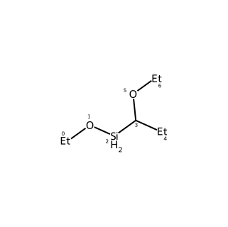 CCO[SiH2]C(CC)OCC